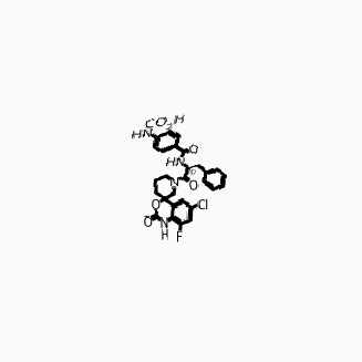 O=C(O)Nc1ccc(C(=O)N[C@@H](Cc2ccccc2)C(=O)N2CCCC3(C2)OC(=O)Nc2c(F)cc(Cl)cc23)cc1